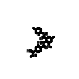 CNC(=N)c1ccc(C(=O)Nc2c(OC)cc(C)cc2C(=O)Nc2ccc(C)cn2)c(F)c1